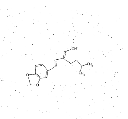 CC(C)CCC(/C=C/c1ccc2c(c1)OCO2)=N\O